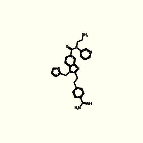 N=C(N)c1ccc(CCc2nc3cc(C(=O)N(CCN)c4cccnc4)ccc3n2Cc2cccs2)cc1